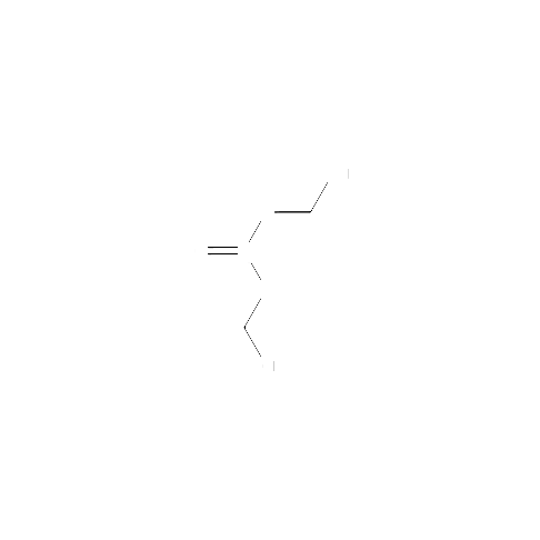 CCO[PH](=O)SCC